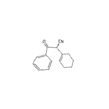 N#CC(C(=O)c1ccccc1)C1=CCCCC1